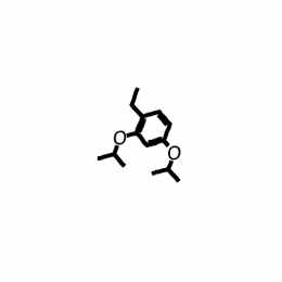 CCc1ccc(OC(C)C)cc1OC(C)C